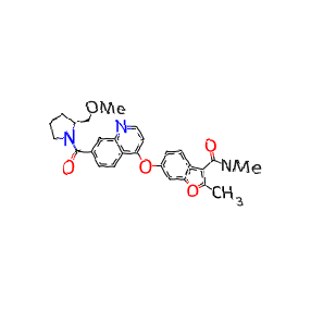 CNC(=O)c1c(C)oc2cc(Oc3ccnc4cc(C(=O)N5CCC[C@H]5COC)ccc34)ccc12